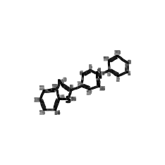 c1ccc(-[n+]2ccc(-c3nc4ccccc4s3)cc2)cc1